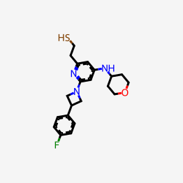 Fc1ccc(C2CN(c3cc(NC4CCOCC4)cc(CCS)n3)C2)cc1